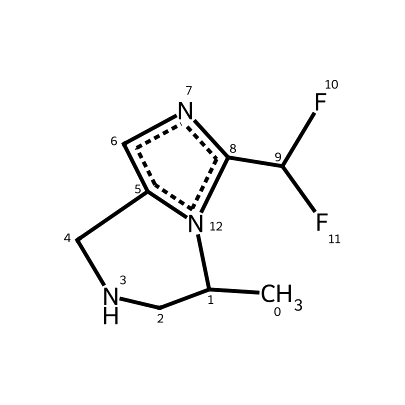 CC1CNCc2cnc(C(F)F)n21